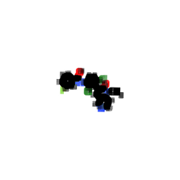 Cn1c(=O)c(-c2c(Cl)ccc(NC(=O)c3cccc(F)c3)c2Cl)cc2cnccc21